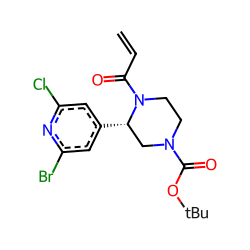 C=CC(=O)N1CCN(C(=O)OC(C)(C)C)C[C@@H]1c1cc(Cl)nc(Br)c1